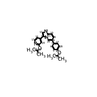 CC(C)Oc1ccc(-c2ccc3ncc(-c4ccnc(OC(C)C)c4)n3c2)cc1